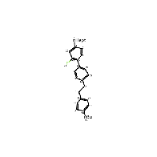 CCCCCCCc1ccc(-c2ccc(CCc3ccc(CCCC)cc3)cc2)c(F)c1